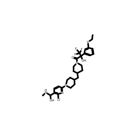 CCOc1cccc(C(O)(C(=O)N2CCC(CC3CCN(c4ccc(C(O)NC)c(Cl)n4)CC3)CC2)C(F)(F)F)c1